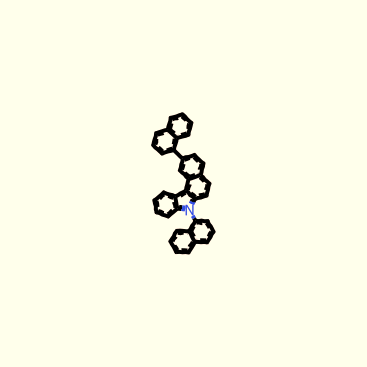 c1ccc2c(-c3ccc4ccc5c(c4c3)c3ccccc3n5-c3cccc4ccccc34)cccc2c1